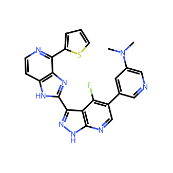 CN(C)c1cncc(-c2cnc3[nH]nc(-c4nc5c(-c6cccs6)nccc5[nH]4)c3c2F)c1